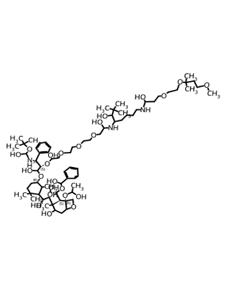 COCCC(C)(C)OCCOCCC(O)NCCCCC(NC(O)COCCOCCOCC(O)O[C@H](C(O)O[C@@H]1CCC(C)(C)C([C@H](O)C(O)C2(C)C(O)CC3OC[C@]3(OC(C)O)[C@@H]2[C@H](CO)OC(O)c2ccccc2)C1C)[C@H](NC(O)OC(C)(C)C)c1ccccc1)C(O)C(C)(C)C